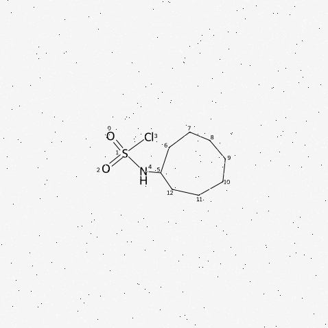 O=S(=O)(Cl)NC1CCCCCCC1